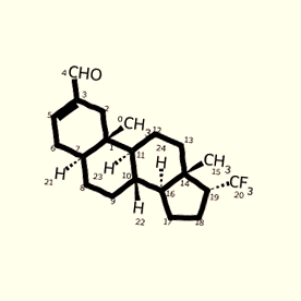 C[C@]12CC(C=O)=CC[C@@H]1CC[C@@H]1[C@@H]2CC[C@@]2(C)[C@H]1CC[C@H]2C(F)(F)F